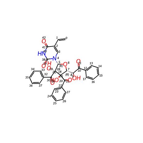 C=Cc1cn([C@@H]2O[C@H](C(O)C(=O)c3ccccc3)[C@](O)(C(=O)c3ccccc3)[C@@]2(O)C(=O)c2ccccc2)c(=O)[nH]c1=O